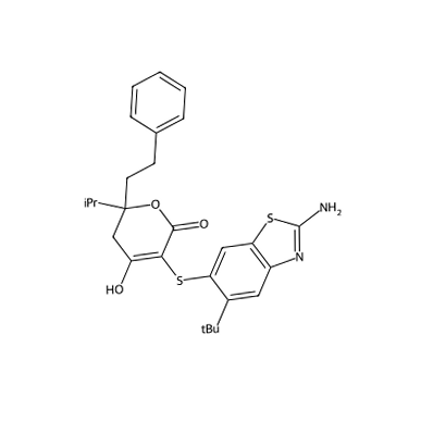 CC(C)C1(CCc2ccccc2)CC(O)=C(Sc2cc3sc(N)nc3cc2C(C)(C)C)C(=O)O1